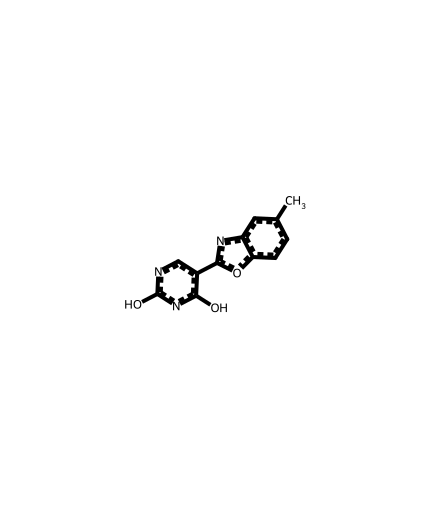 Cc1ccc2oc(-c3cnc(O)nc3O)nc2c1